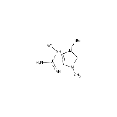 CCCCN1C=CN(C)C1.N#CNC(=N)N